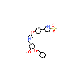 COc1cc(CN2CC(Oc3ccc(-c4ccc(S(C)(=O)=O)nc4)cc3)C2)ccc1OCc1ccccc1